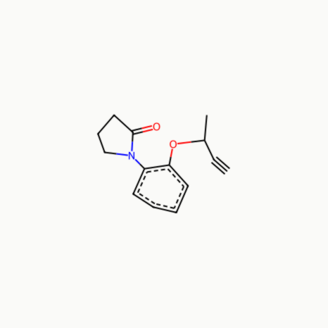 C#CC(C)Oc1ccccc1N1CCCC1=O